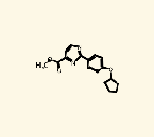 COC(=O)c1ccnc(-c2ccc(OC3CCCC3)cc2)n1